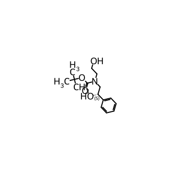 CC(C)(C)OC(=O)N(CCO)C[C@@H](O)c1ccccc1